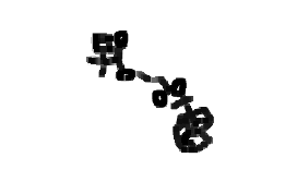 CCC(C)(C)C(=O)OCCCC(=O)OC(C)(C)C12CC3C4CC5CC3C(C1)C(C5)C4C2